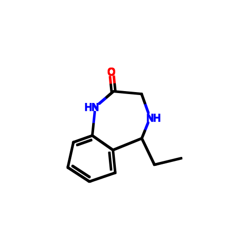 CCC1NCC(=O)Nc2ccccc21